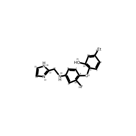 CCc1ccc(Oc2ccc(NCc3ncc[nH]3)cc2F)c(O)c1